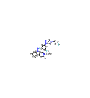 CSN1[C@@H](c2c(F)cc(NC3CN(CCCF)C3)cc2F)c2[nH]c3ccccc3c2C[C@H]1C